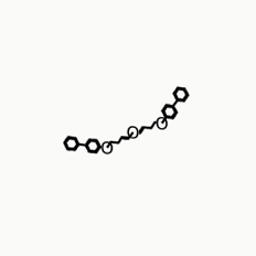 C(=COC=CCCOc1ccc(-c2ccccc2)cc1)CCOc1ccc(-c2ccccc2)cc1